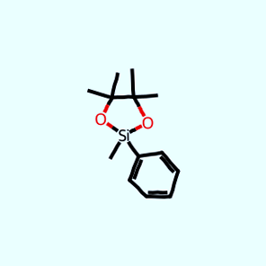 CC1(C)O[Si](C)(c2ccccc2)OC1(C)C